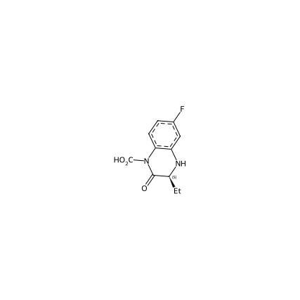 CC[C@@H]1Nc2cc(F)ccc2N(C(=O)O)C1=O